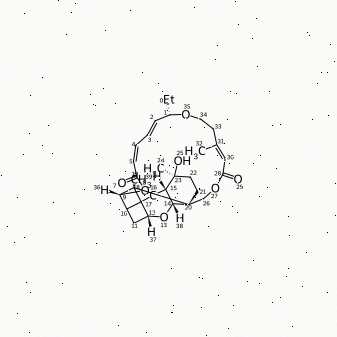 CC[C@H]1/C=C/C=C\C(=O)O[C@@H]2C3C[C@H]4O[C@@H]5[C@@H]6CC34[C@@]2(C)[C@]5(CC[C@]6(C)O)COC(=O)/C=C(\C)CCO1